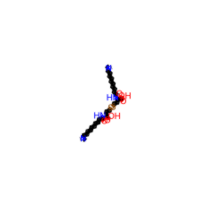 CN(C)CCCCCCCCCC(=O)NC(CCSSCCC(NC(=O)CCCCCCCCCN(C)C)C(=O)O)C(=O)O